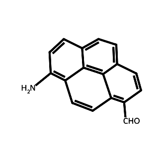 Nc1ccc2ccc3ccc(C=O)c4ccc1c2c34